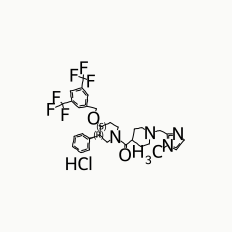 Cl.Cn1ccnc1CN1CCC(C(=O)N2CC[C@H](OCc3cc(C(F)(F)F)cc(C(F)(F)F)c3)[C@H](c3ccccc3)C2)CC1